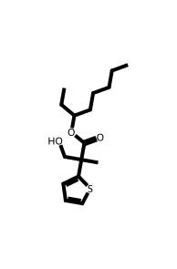 CCCCCC(CC)OC(=O)C(C)(CO)c1cccs1